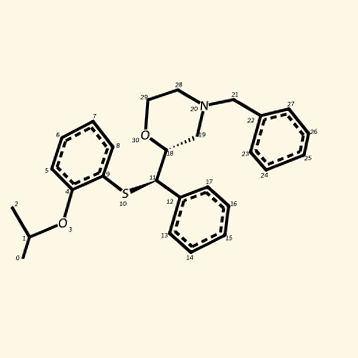 CC(C)Oc1ccccc1S[C@H](c1ccccc1)[C@H]1CN(Cc2ccccc2)CCO1